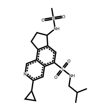 CC(C)CNS(=O)(=O)c1cc2c(c3cnc(C4CC4)cc13)CCC2NS(C)(=O)=O